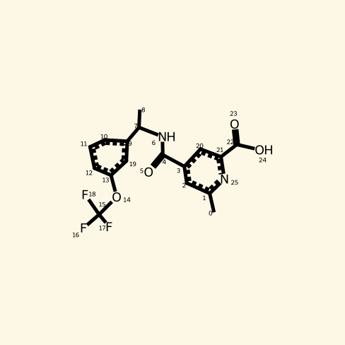 Cc1cc(C(=O)NC(C)c2cccc(OC(F)(F)F)c2)cc(C(=O)O)n1